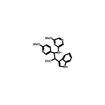 COc1ccc(C(Nc2cncc(OC)n2)C(C=O)c2c[nH]c3ccccc23)cn1